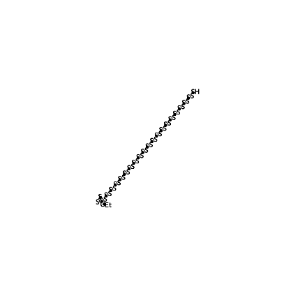 CCOS(=S)(=S)SSSSSSSSSSSSSSSSSSSSSSSSSSSSSSSSSSSSSSSS